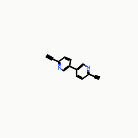 C#Cc1ccc(-c2ccc(C#C)nc2)cn1